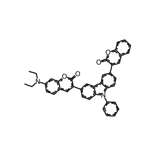 CCN(CC)c1ccc2cc(-c3ccc4c(c3)c3cc(-c5cc6ccccc6oc5=O)ccc3n4-c3ccccc3)c(=O)oc2c1